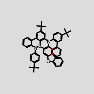 CC(C)(C)c1ccc(N2B3c4cc5oc6ccccc6c5cc4N(c4ccc(C(C)(C)C)cc4-c4ccccc4)c4cc(C(C)(C)C)cc(c43)-c3ccccc32)cc1